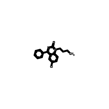 CCCCn1c(=O)nc(-c2ccccc2)c2cc(Cl)ccc21